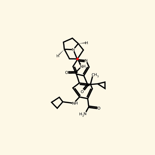 Cc1cc(C(N)=O)c(NC2CCC2)cc1C(=O)N[C@H]1C[C@H]2CC[C@@H](C1)N2c1ccc(C(=O)C2CC2)cn1